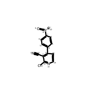 N#Cc1c(-c2ccc([N+](=O)[O-])cc2)ccnc1Cl